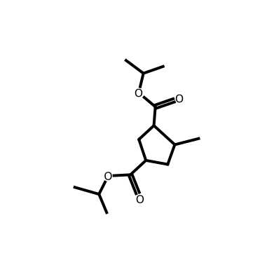 CC(C)OC(=O)C1CC(C)C(C(=O)OC(C)C)C1